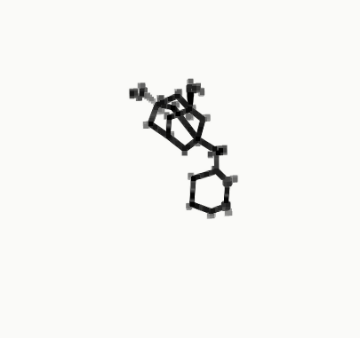 C[C@]12CC3CC(NC4CCCOO4)(C1)C[C@@](C)(C3)C2